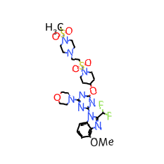 COc1cccc2c1nc(C(F)F)n2-c1nc(OC2CCN(S(=O)(=O)CCN3CCN(S(C)(=O)=O)CC3)CC2)nc(N2CCOCC2)n1